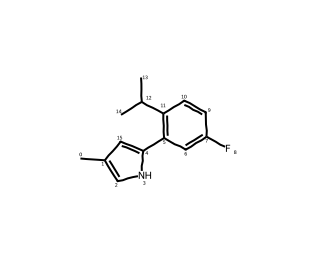 Cc1c[nH]c(-c2cc(F)ccc2C(C)C)c1